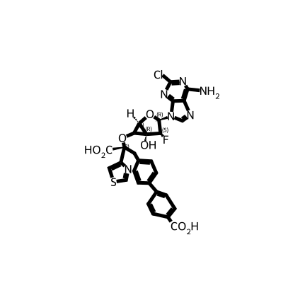 Nc1nc(Cl)nc2c1ncn2[C@@H]1O[C@@H]2C(O[C@@](Cc3ccc(-c4ccc(C(=O)O)cc4)cc3)(C(=O)O)c3cscn3)[C@]2(O)[C@@H]1F